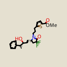 COC(=O)c1ccc(CCCN2C(=O)C(F)(F)C[C@@H]2C=CC(O)[C@@H](C)c2ccccc2)s1